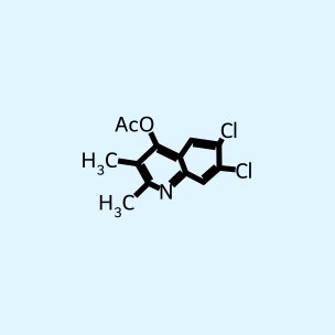 CC(=O)Oc1c(C)c(C)nc2cc(Cl)c(Cl)cc12